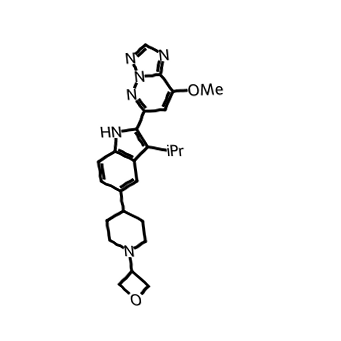 COc1cc(-c2[nH]c3ccc(C4CCN(C5COC5)CC4)cc3c2C(C)C)nn2ncnc12